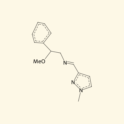 COC(CN=Cc1ccn(C)n1)c1ccccc1